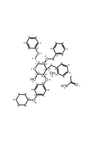 CC(N)=O.O[C@H]1O[C@H](COc2ccccc2)[C@@H](OCc2ccccc2)[C@@](O)(Cc2ccccc2)[C@H]1Oc1ccc(OC2CCCCC2)cc1